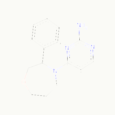 Nc1nccc(N2CCCOCC2c2ccccc2)n1